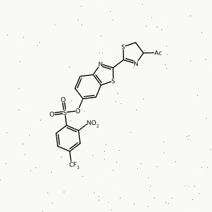 CC(=O)C1CSC(c2nc3ccc(OS(=O)(=O)c4ccc(C(F)(F)F)cc4[N+](=O)[O-])cc3s2)=N1